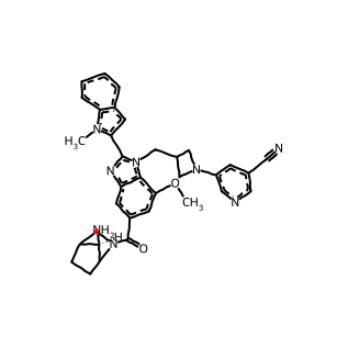 COc1cc(C(=O)N2CC3CCC2[C@@H]3N)cc2nc(-c3cc4ccccc4n3C)n(CC3CN(c4cncc(C#N)c4)C3)c12